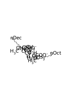 CCCCCCCC/C=C\CCCCCCCCC(C)[N+](C)(C)C(C)(CCCC(=O)OC(C)CC(CC(=O)O)(C(=O)[O-])[N+](C)(C)C(CCCCCCCCCCCCCCCCCC)CC(C)O)C(=O)[O-]